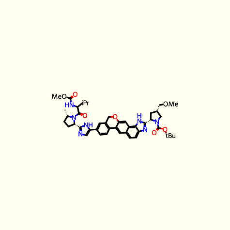 COC[C@H]1C[C@@H](c2nc3ccc4cc5c(cc4c3[nH]2)OCc2cc(-c3cnc([C@@H]4CC[C@H](C)N4C(=O)C(NC(=O)OC)C(C)C)[nH]3)ccc2-5)N(C(=O)OC(C)(C)C)C1